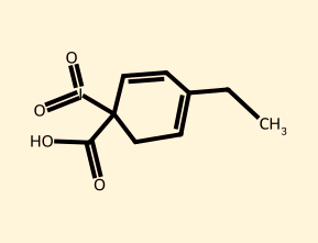 CCC1=CCC(C(=O)O)(I(=O)=O)C=C1